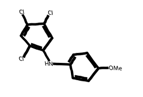 COc1ccc(Nc2cc(Cl)c(Cl)cc2Cl)cc1